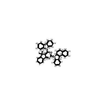 CC1(C)c2ccccc2-c2nc(-n3c4ccccc4c4c5ccccc5ccc43)nc(-n3c4ccccc4c4ccccc43)c21